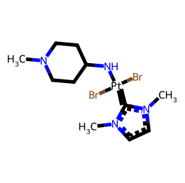 CN1CCC([NH][Pt]([Br])([Br])=[c]2n(C)ccn2C)CC1